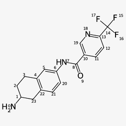 NC1CCc2cc(NC(=O)c3ccc(C(F)(F)F)nc3)ccc2C1